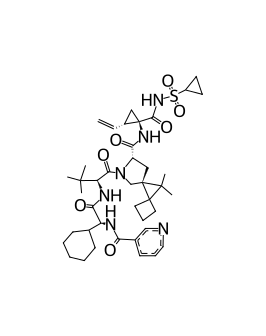 C=C[C@@H]1C[C@]1(NC(=O)[C@@H]1C[C@@]2(CN1C(=O)[C@@H](NC(=O)[C@@H](NC(=O)c1cccnc1)C1CCCCC1)C(C)(C)C)C(C)(C)C21CCC1)C(=O)NS(=O)(=O)C1CC1